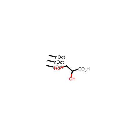 CCCCCCCCC.CCCCCCCCC.CCCCCCCCC.O=C(O)C(O)CO